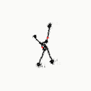 CC(=O)N[C@H]1[C@@H]2OC[C@](COCCOCCOCCOCCn3cc(COCC(COCc4cn(CCOCCOCCOCCOC[C@@]56CO[C@@H](O5)[C@H](NC(C)=O)C[C@H]6O)nn4)(COCc4cn(CCOCCOCCOCCOC[C@@]56CO[C@@H](O5)[C@H](NC(C)=O)[C@@H](O)[C@H]6O)nn4)NC(=O)CCCCCSSc4ccccn4)nn3)(O2)[C@H](O)[C@@H]1O